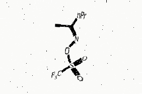 CCCC(C)=NOS(=O)(=O)C(F)(F)F